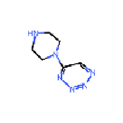 c1nnnnc1N1CCNCC1